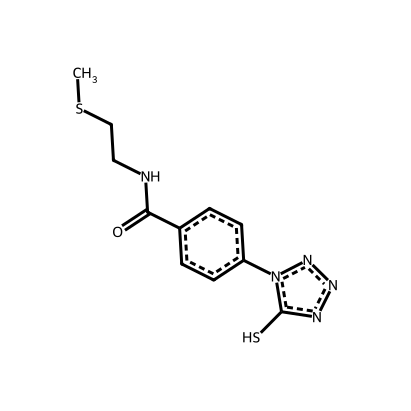 CSCCNC(=O)c1ccc(-n2nnnc2S)cc1